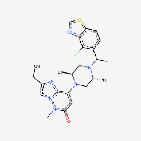 CC[C@H]1CN(C(C)c2ccc3scnc3c2F)[C@H](CC)CN1c1cc(=O)n(C)n2cc(CC#N)nc12